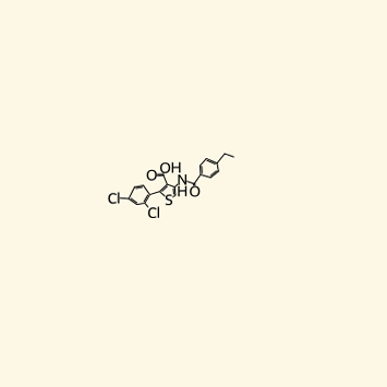 CCc1ccc(C(=O)Nc2csc(-c3ccc(Cl)cc3Cl)c2C(=O)O)cc1